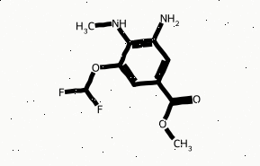 CNc1c(N)cc(C(=O)OC)cc1OC(F)F